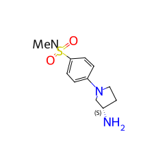 CNS(=O)(=O)c1ccc(N2CC[C@H](N)C2)cc1